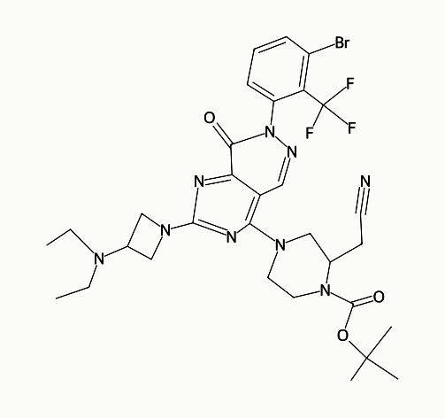 CCN(CC)C1CN(c2nc(N3CCN(C(=O)OC(C)(C)C)C(CC#N)C3)c3cnn(-c4cccc(Br)c4C(F)(F)F)c(=O)c3n2)C1